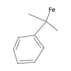 C[C](C)([Fe])c1ccccc1